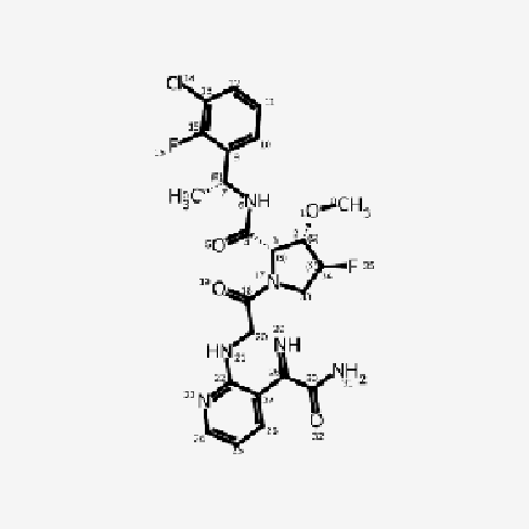 CO[C@H]1[C@@H](C(=O)N[C@H](C)c2cccc(Cl)c2F)N(C(=O)CNc2ncccc2C(=N)C(N)=O)C[C@@H]1F